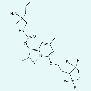 CCCC(C)(N)CNC(=O)Oc1c(C)nn2c(OCCC(C(F)(F)F)C(F)(F)F)cc(C)cc12